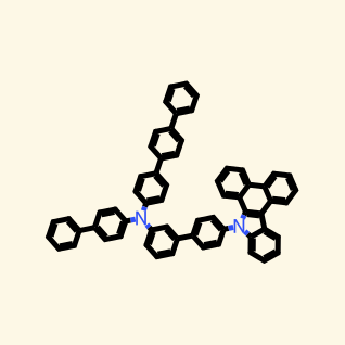 c1ccc(-c2ccc(-c3ccc(N(c4ccc(-c5ccccc5)cc4)c4cccc(-c5ccc(-n6c7ccccc7c7c8ccccc8c8ccccc8c76)cc5)c4)cc3)cc2)cc1